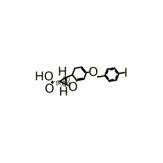 O=C(O)[C@H]1[C@@H]2OC3=CC(OCc4ccc(I)cc4)=CCC3[C@@H]21